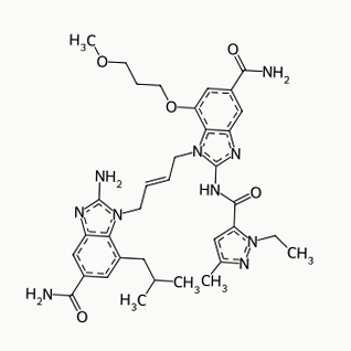 CCn1nc(C)cc1C(=O)Nc1nc2cc(C(N)=O)cc(OCCCOC)c2n1C/C=C/Cn1c(N)nc2cc(C(N)=O)cc(CC(C)C)c21